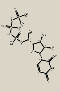 O=c1ccn([C@@H]2O[C@H](N(O)OP(=O)(O)OP(=O)(O)OP(=O)(O)O)[C@@H](O)[C@H]2O)c(=O)[nH]1